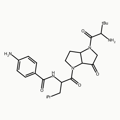 CC(C)CC(NC(=O)c1ccc(N)cc1)C(=O)N1CCC2C1C(=O)CN2C(=O)C(N)C(C)(C)C